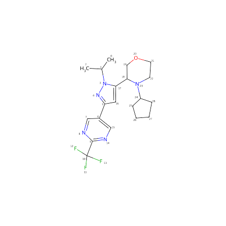 CC(C)n1nc(-c2cnc(C(F)(F)F)nc2)cc1C1COCCN1C1CCCC1